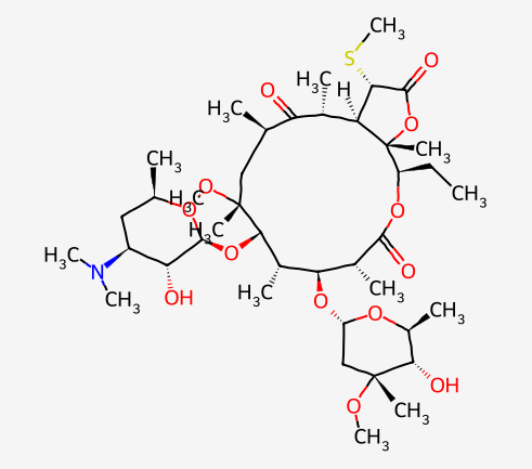 CC[C@H]1OC(=O)[C@H](C)[C@@H](O[C@H]2C[C@@](C)(OC)[C@@H](O)[C@H](C)O2)[C@H](C)[C@@H](O[C@@H]2O[C@H](C)C[C@H](N(C)C)[C@H]2O)[C@](C)(OC)C[C@@H](C)C(=O)[C@H](C)[C@H]2[C@H](SC)C(=O)O[C@@]21C